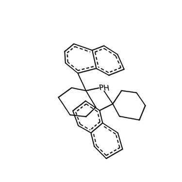 c1ccc2c(C3(PC4(c5cccc6ccccc56)CCCCC4)CCCCC3)cccc2c1